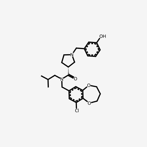 CC(C)CN(Cc1cc(Cl)c2c(c1)OCCCO2)C(=O)[C@@H]1CCN(Cc2cccc(O)c2)C1